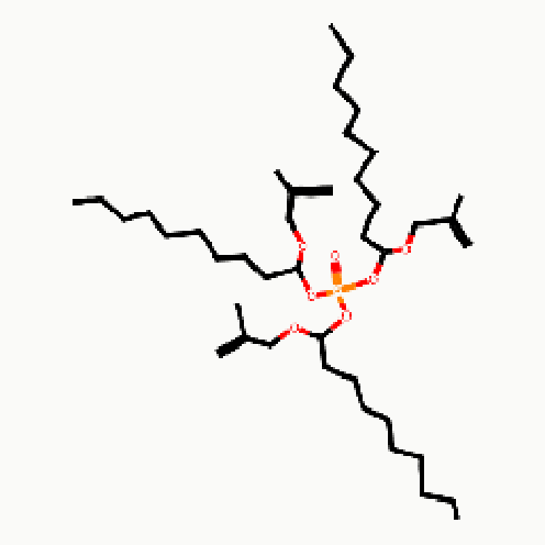 C=C(C)COC(CCCCCCCCC)OP(=O)(OC(CCCCCCCCC)OCC(=C)C)OC(CCCCCCCCC)OCC(=C)C